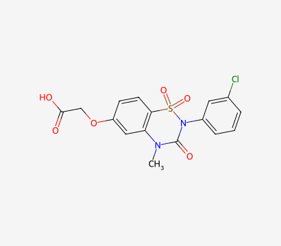 CN1C(=O)N(c2cccc(Cl)c2)S(=O)(=O)c2ccc(OCC(=O)O)cc21